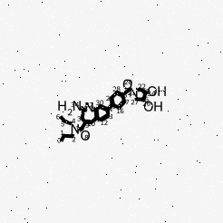 CCCN(CCC)C(=O)C1=Cc2ccc(-c3ccc(C(=O)N4CC(O)[C@@H](O)C4)cc3)cc2N=C(N)C1